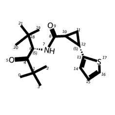 CC(C)(C)C(=O)[C@@H](NC(=O)C1C[C@@H]1c1cccs1)C(C)(C)C